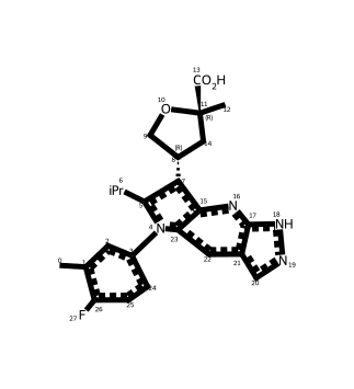 Cc1cc(-n2c(C(C)C)c([C@@H]3CO[C@@](C)(C(=O)O)C3)c3nc4[nH]ncc4cc32)ccc1F